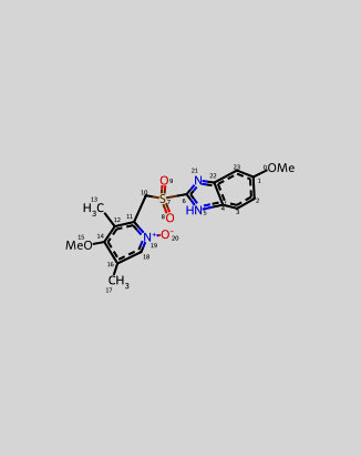 COc1ccc2[nH]c(S(=O)(=O)Cc3c(C)c(OC)c(C)c[n+]3[O-])nc2c1